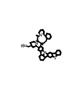 C=C1CC2(C)[n+]3ccc(CC(C)(C)C)cc3-c3cc4c5cccc6c7cc8sc9ccccc9c8cc7n(c4cc3C2(C)CCc2ccccc2-c2cccc[n+]21)c56